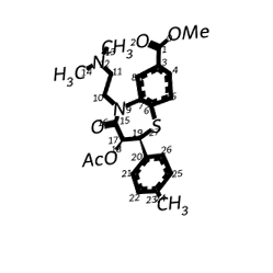 COC(=O)c1ccc2c(c1)N(CCN(C)C)C(=O)[C@H](OC(C)=O)[C@H](c1ccc(C)cc1)S2